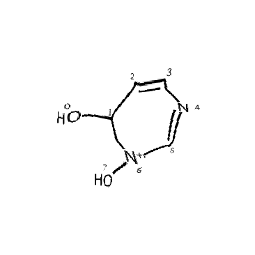 OC1C=CN=C[N+]1O